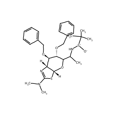 CC(N[S+]([O-])C(C)(C)C)C1O[C@@H]2SC(N(C)C)=N[C@@H]2[C@@H](OCc2ccccc2)[C@@H]1OCc1ccccc1